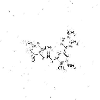 C=C/C=C\C(=C/C)c1cc(N)c(C)c(CNCc2c(C)cc(C)[nH]c2=O)c1